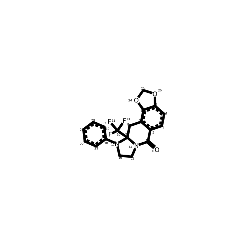 O=C1c2ccc3c(c2CC2(C(F)(F)F)N1CCN2c1ccccc1)OCO3